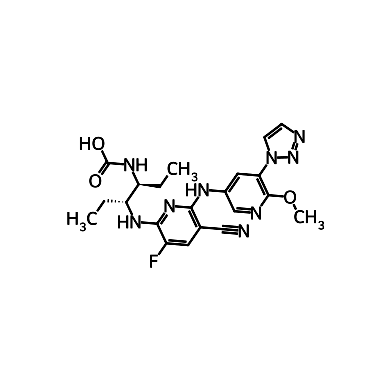 CC[C@H](NC(=O)O)[C@@H](CC)Nc1nc(Nc2cnc(OC)c(-n3ccnn3)c2)c(C#N)cc1F